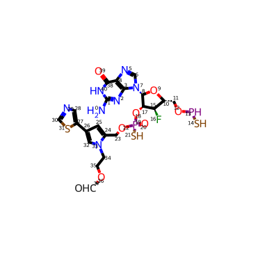 Nc1nc2c(ncn2[C@@H]2O[C@H](COPS)[C@@H](F)[C@H]2OP(=O)(S)OCc2cc(-c3cncs3)cn2CCOC=O)c(=O)[nH]1